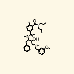 CCCN(CCC)C(=O)c1cc(C(=O)NC(Cc2ccccc2)C(O)CNCc2cccc(OC)c2)ccc1C